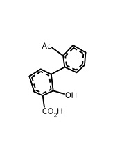 CC(=O)c1ccccc1-c1cccc(C(=O)O)c1O